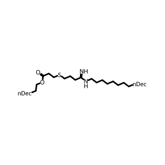 CCCCCCCCCCCCCCCCCCNC(=N)CCCSCCC(=O)OCCCCCCCCCCCC